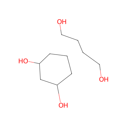 OC1CCCC(O)C1.OCCCCO